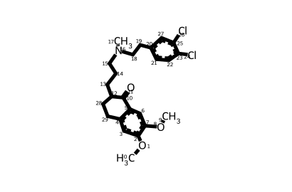 COc1cc2c(cc1OC)C(=O)C(CCCN(C)CCc1ccc(Cl)c(Cl)c1)CC2